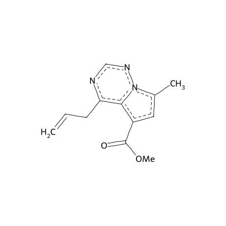 C=CCc1ncnn2c(C)cc(C(=O)OC)c12